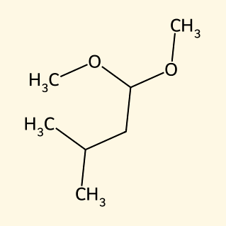 COC(CC(C)C)OC